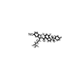 Cc1ccc(S(=O)(=O)n2ccc3c(C(=O)N4Cc5ccc(C#N)cc5C4COCC[Si](C)(C)C)c(C)cc(C)c32)cc1